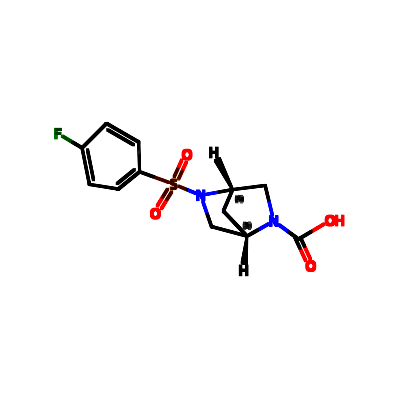 O=C(O)N1C[C@@H]2C[C@H]1CN2S(=O)(=O)c1ccc(F)cc1